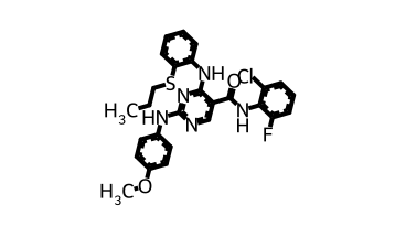 CCCSc1ccccc1Nc1nc(Nc2ccc(OC)cc2)ncc1C(=O)Nc1c(F)cccc1Cl